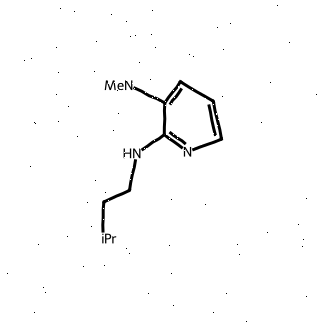 CNc1cccnc1NCCC(C)C